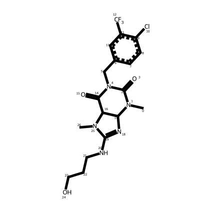 CN1C(=O)N(Cc2ccc(Cl)c(C(F)(F)F)c2)C(=O)C2C1N=C(NCCCO)N2C